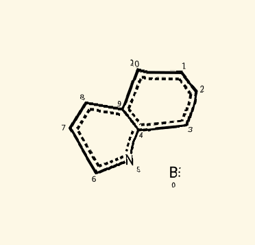 [B].c1ccc2ncccc2c1